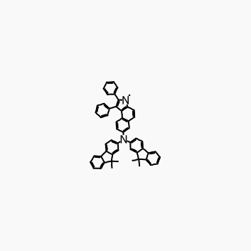 Cn1c(-c2ccccc2)c(-c2ccccc2)c2c3ccc(N(c4ccc5c(c4)C(C)(C)c4ccccc4-5)c4ccc5c(c4)C(C)(C)c4ccccc4-5)cc3ccc21